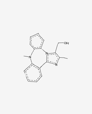 Cc1nc2n(c1CO)-c1ccccc1N(C)c1ccccc1-2